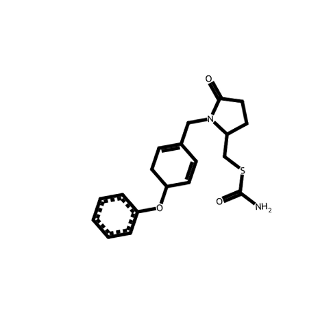 NC(=O)SCC1CCC(=O)N1CC1=CCC(Oc2ccccc2)C=C1